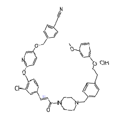 COc1cccc(OCCc2ccc(CN3CCN(C(=O)/C=C/c4ccc(Oc5ccc(OCc6ccc(C#N)cc6)cn5)c(Cl)c4)CC3)cc2)c1.Cl